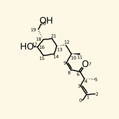 CC(C)=C[C@@H](C)C(=O)/C=C\[C@H](C)C[C@@H]1CC[C@@H](O)[C@H](CO)C1